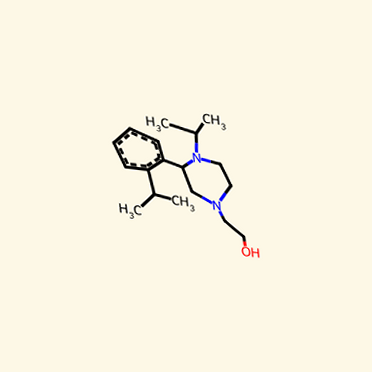 CC(C)c1ccccc1C1CN(CCO)CCN1C(C)C